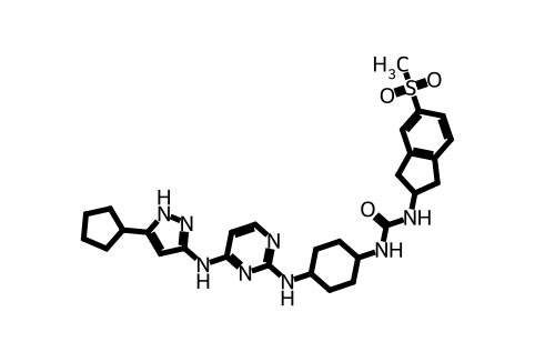 CS(=O)(=O)c1ccc2c(c1)CC(NC(=O)NC1CCC(Nc3nccc(Nc4cc(C5CCCC5)[nH]n4)n3)CC1)C2